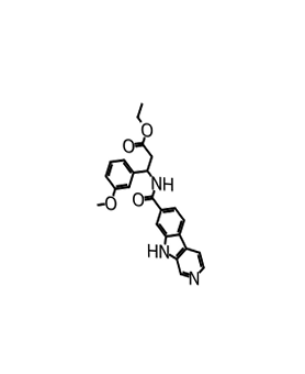 CCOC(=O)CC(NC(=O)c1ccc2c(c1)[nH]c1cnccc12)c1cccc(OC)c1